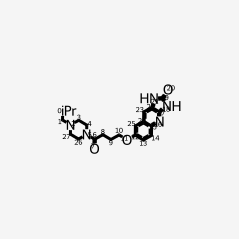 CC(C)CN1CCN(C(=O)CCCOc2ccc3nc4[nH]c(=O)[nH]c4cc3c2)CC1